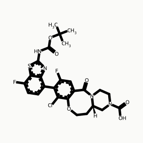 CC(C)(C)OC(=O)Nc1nc2c(-c3c(F)cc4c(c3Cl)OCC[C@H]3CN(C(=O)O)CCN3C4=O)ccc(F)c2s1